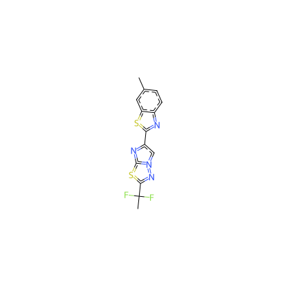 Cc1ccc2nc(-c3cn4nc(C(C)(F)F)sc4n3)sc2c1